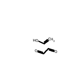 C=CO.O=CC=O